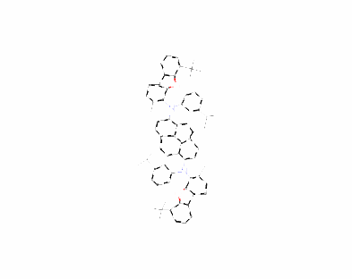 Cc1ccc2c(oc3c(C(C)(C)C)cccc32)c1N(c1cccc(C(C)C)c1)c1ccc2ccc3c(N(c4cccc(C(C)C)c4)c4c(C)ccc5c4oc4c(C(C)(C)C)cccc45)ccc4ccc1c2c43